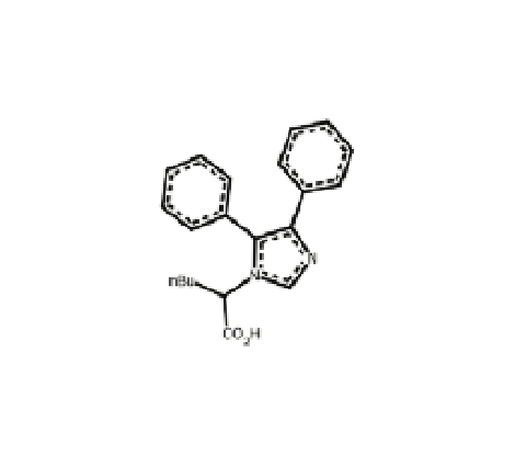 CCCCC(C(=O)O)n1cnc(-c2ccccc2)c1-c1ccccc1